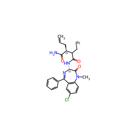 C=CC[C@H](C(N)=O)C(CC(C)C)C(=O)N[C@H]1N=C(c2ccccc2)c2cc(Cl)ccc2N(C)C1=O